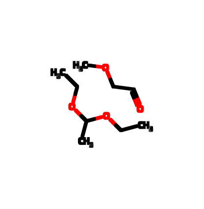 CCOC(C)OCC.COCC=O